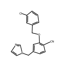 N#Cc1ccc(Cn2ccnc2)cc1OCc1cccc(Cl)c1